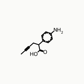 CC#CCC(C(=O)O)c1ccc(N)cc1